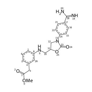 COC(=O)Cc1cccc(NCC2CN(c3ccc(C(=N)N)cc3)C(=O)O2)c1